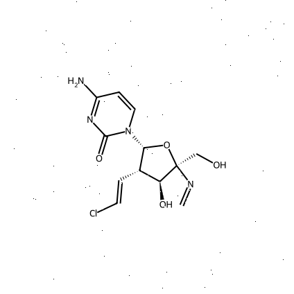 C=N[C@]1(CO)O[C@@H](n2ccc(N)nc2=O)[C@@H](C=CCl)[C@@H]1O